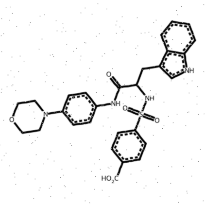 O=C(O)c1ccc(S(=O)(=O)NC(Cc2c[nH]c3ccccc23)C(=O)Nc2ccc(N3CCOCC3)cc2)cc1